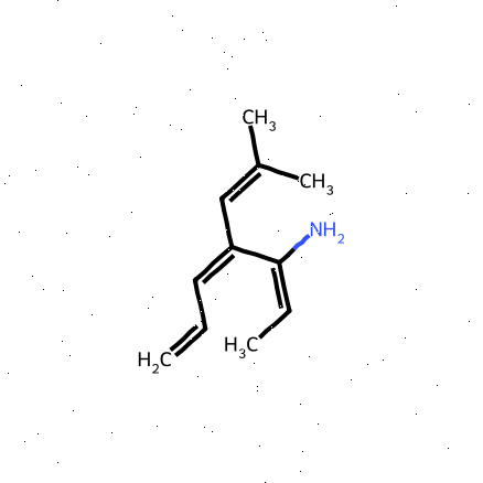 C=C/C=C(C=C(C)C)\C(N)=C/C